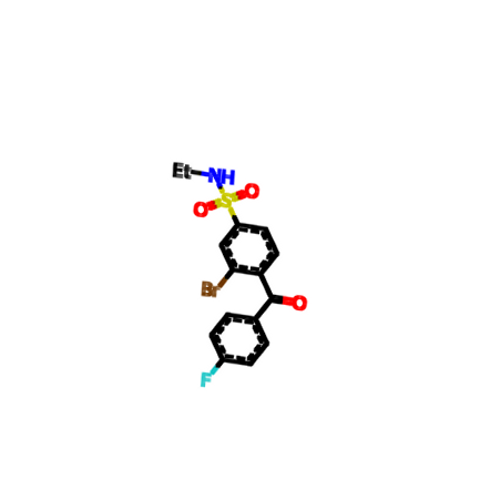 CCNS(=O)(=O)c1ccc(C(=O)c2ccc(F)cc2)c(Br)c1